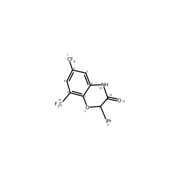 CC(C)C1Oc2c(cc(C(F)(F)F)cc2C(F)(F)F)NC1=O